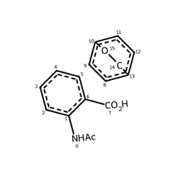 CC(=O)Nc1ccccc1C(=O)O.c1cc2ccc1CO2